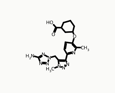 Cc1nc(-c2nnn(C)c2Cn2nnc(N)n2)ccc1OC1CCCC(C(=O)O)C1